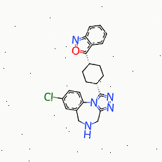 Clc1ccc2c(c1)CNCc1nnc([C@H]3CC[C@@H](c4onc5ccccc54)CC3)n1-2